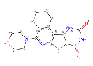 O=C1NC(=O)C2Sc3nc(N4CCOCC4)c4c(c3C2N1)CCCC4